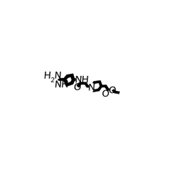 CCOC(=O)CC1CCN(CCC(=O)Nc2ccc(C(=N)N)cc2)CC1